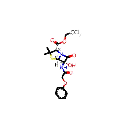 CC1(C)S[C@H]2N(C(=O)[C@@]2(O)NC(=O)COc2ccccc2)[C@H]1C(=O)OCC(Cl)(Cl)Cl